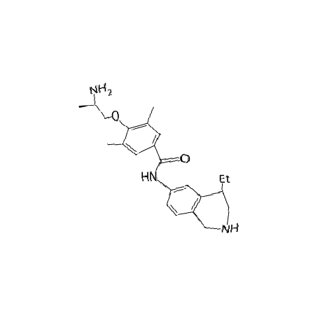 CCC1CNCc2ccc(NC(=O)c3cc(C)c(OC[C@@H](C)N)c(C)c3)cc21